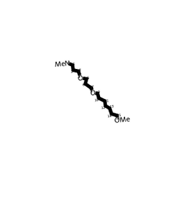 CNCCCOCCCOCCCCCCCOC